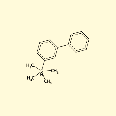 C[SH](C)(C)(C)c1cccc(-c2ccccc2)c1